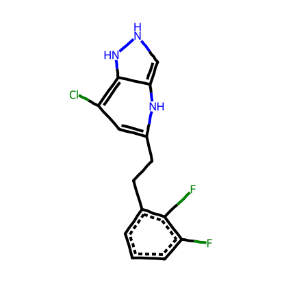 Fc1cccc(CCC2=CC(Cl)=C3NNC=C3N2)c1F